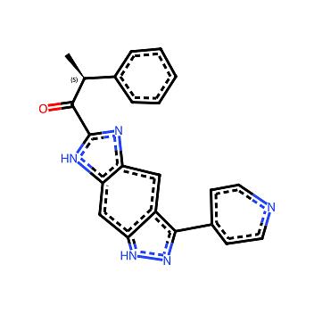 C[C@H](C(=O)c1nc2cc3c(-c4ccncc4)n[nH]c3cc2[nH]1)c1ccccc1